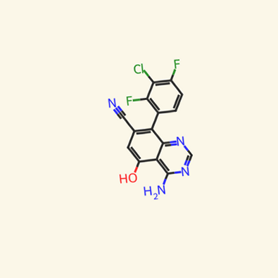 N#Cc1cc(O)c2c(N)ncnc2c1-c1ccc(F)c(Cl)c1F